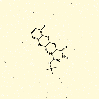 CC(C)(C)OC(=O)N[C@@H](C[C@@H]1Oc2c(F)cccc2NC1=O)C(N)=O